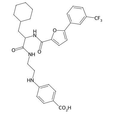 O=C(O)c1ccc(NCCNC(=O)C(CC2CCCCC2)NC(=O)c2ccc(-c3cccc(C(F)(F)F)c3)o2)cc1